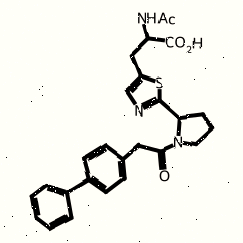 CC(=O)NC(Cc1cnc(C2CCCN2C(=O)Cc2ccc(-c3ccccc3)cc2)s1)C(=O)O